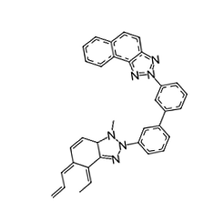 C=C/C=C1/C=CC2C(=NN(c3cccc(-c4cccc(-n5nc6ccc7ccccc7c6n5)c4)c3)N2C)/C1=C/C